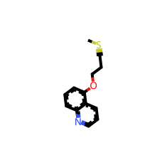 CS#CCCOc1cccc2ncccc12